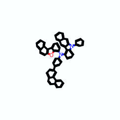 c1ccc(-n2c3cc4ccccc4cc3c3c(N(c4ccc(-c5ccc6ccc7ccccc7c6c5)cc4)c4cccc5c4oc4ccc6ccccc6c45)cccc32)cc1